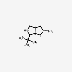 CN1CC2CNC(C(C)(C)C)C2C1